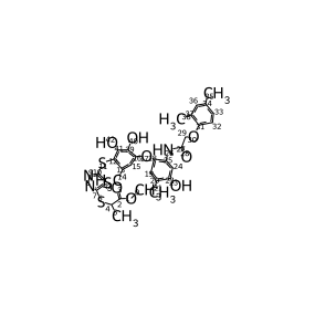 COC(=O)C(C)Sc1nnc(Sc2c(C)cc(Oc3cc(C)c(O)cc3NC(=O)COc3ccc(C)cc3C)c(O)c2O)s1